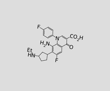 CCNC1CCC(c2c(F)cc3c(=O)c(C(=O)O)cn(-c4ccc(F)cc4)c3c2N)C1